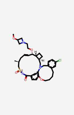 COC1CN(CCO[C@H]2/C=C/C[C@H](C)C/[SH](=O)=N\C(=O)c3ccc4c(c3)N(Cc3ccc(Cl)cc3CCCCO4)C[C@@H]3CC[C@H]32)C1